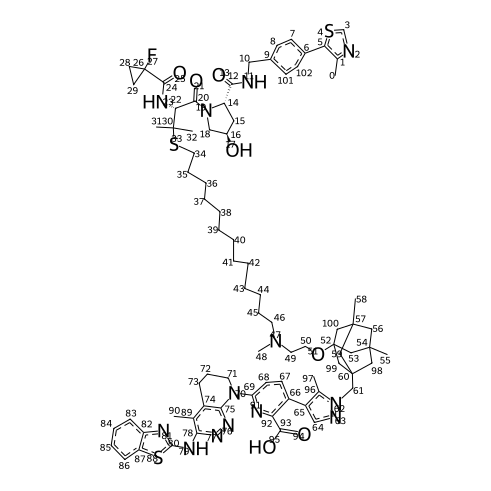 Cc1ncsc1-c1ccc(CNC(=O)[C@@H]2C[C@@H](O)CN2C(=O)[C@@H](NC(=O)C2(F)CC2)C(C)(C)SCCCCCCCCCCCCCN(C)CCOC23CC4(C)CC(C)(CC(Cn5ncc(-c6ccc(N7CCCc8c7nnc(Nc7nc9ccccc9s7)c8C)nc6C(=O)O)c5C)(C4)C2)C3)cc1